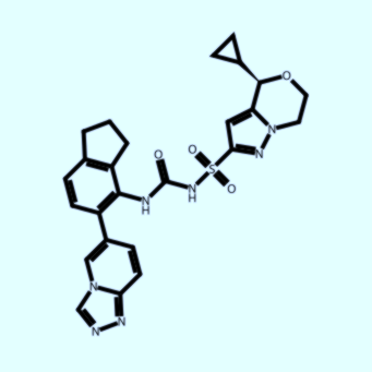 O=C(Nc1c(-c2ccc3nncn3c2)ccc2c1CCC2)NS(=O)(=O)c1cc2n(n1)CCO[C@@H]2C1CC1